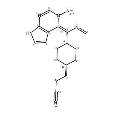 C=N/C(=C1/c2cc[nH]c2N=CN1N)[C@H]1CC[C@H](CCC#N)CC1